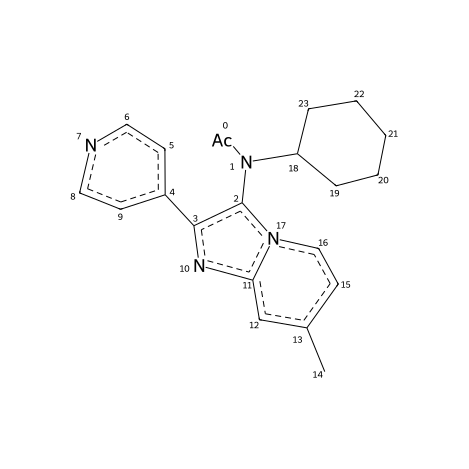 CC(=O)N(c1c(-c2ccncc2)nc2cc(C)ccn12)C1CCCCC1